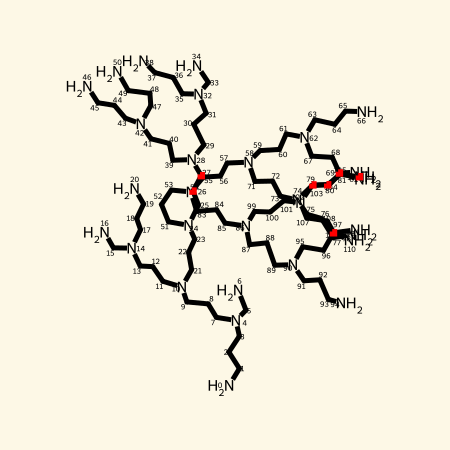 NCCCN(CN)CCCN(CCCN(CN)CCCN)CCCN(CCCN(CCCN(CN)CCCN)CCCN(CCCN)CCCN)CCCN(CCCN(CCCN(CCCN)CCCN)CCCN(CCCN)CCCN)CCCN(CCCN(CCCN)CCCN)CCCN(CCCN)CCCN